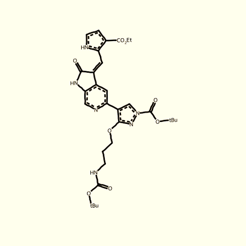 CCOC(=O)c1cc[nH]c1/C=C1\C(=O)Nc2cnc(-c3cn(C(=O)OC(C)(C)C)nc3OCCCNC(=O)OC(C)(C)C)cc21